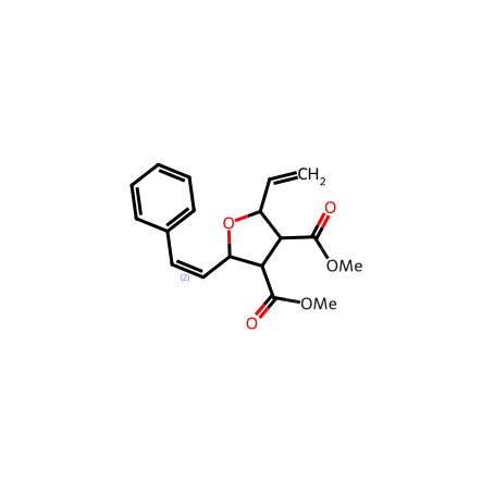 C=CC1OC(/C=C\c2ccccc2)C(C(=O)OC)C1C(=O)OC